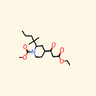 CCCC(C)(C)C1CC(C(=O)CC(=O)OCC)CCN1C(=O)OC